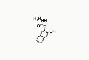 NNC(=O)Oc1cc2ccccc2cc1O